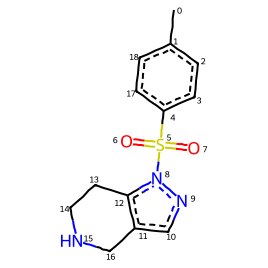 Cc1ccc(S(=O)(=O)n2ncc3c2CCNC3)cc1